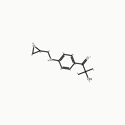 CC(C)(O)C(=O)c1ccc(OCC2CO2)cc1